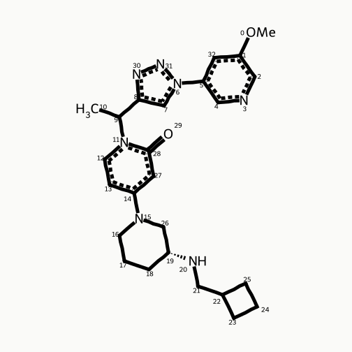 COc1cncc(-n2cc(C(C)n3ccc(N4CCC[C@@H](NCC5CCC5)C4)cc3=O)nn2)c1